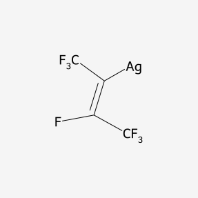 FC(=[C]([Ag])C(F)(F)F)C(F)(F)F